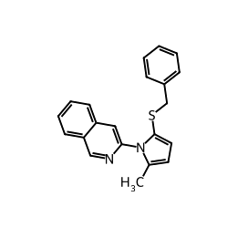 Cc1ccc(SCc2ccccc2)n1-c1cc2ccccc2cn1